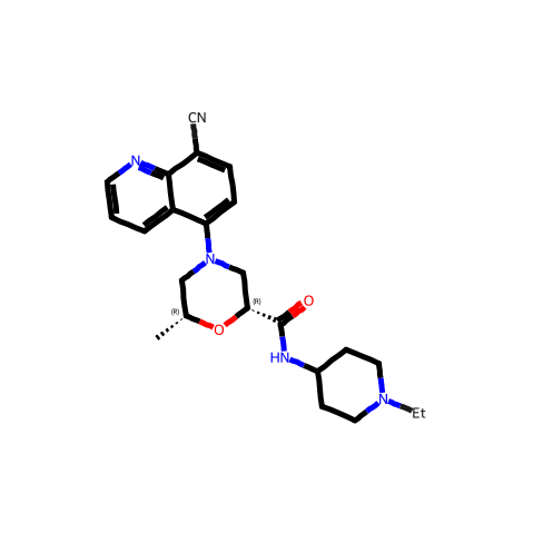 CCN1CCC(NC(=O)[C@H]2CN(c3ccc(C#N)c4ncccc34)C[C@@H](C)O2)CC1